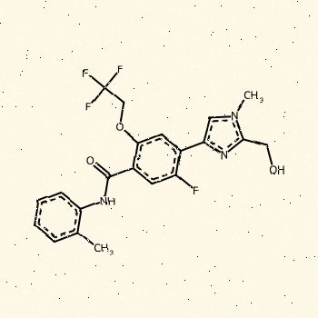 Cc1ccccc1NC(=O)c1cc(F)c(-c2cn(C)c(CO)n2)cc1OCC(F)(F)F